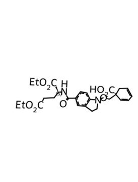 CCOC(=O)CC[C@H](NC(=O)c1ccc2c(c1)CCN2OCC1(C(=O)O)C=CC=CC1)C(=O)OCC